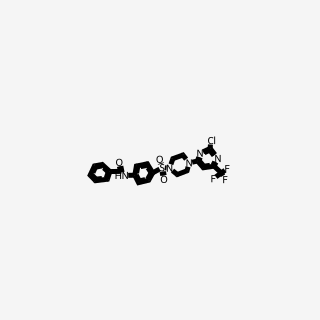 O=C(Nc1ccc(S(=O)(=O)N2CCN(c3cc(C(F)(F)F)nc(Cl)n3)CC2)cc1)c1ccccc1